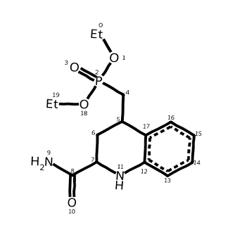 CCOP(=O)(CC1CC(C(N)=O)Nc2ccccc21)OCC